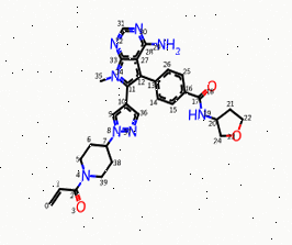 C=CC(=O)N1CCC(n2cc(-c3c(-c4ccc(C(=O)NC5CCOC5)cc4)c4c(N)ncnc4n3C)cn2)CC1